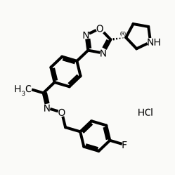 CC(=NOCc1ccc(F)cc1)c1ccc(-c2noc([C@@H]3CCNC3)n2)cc1.Cl